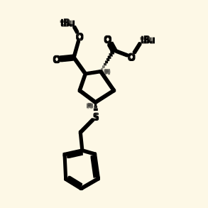 CC(C)(C)OC(=O)C1C[C@@H](SCc2ccccc2)C[C@H]1C(=O)OC(C)(C)C